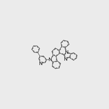 c1ccc(-c2cncc(-n3c4ccccc4c4c5c(ccc43)c3ccccc3n3c4ccccc4nc53)c2)cc1